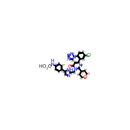 O=C(O)Nc1ccc(-c2cnc(Cn3c(C4CCOCC4)nc(-c4cc(Cl)ccc4-n4cnnn4)cc3=O)[nH]2)cc1